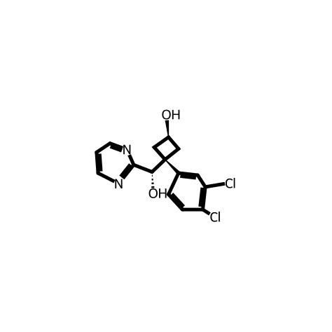 O[C@H](c1ncccn1)[C@]1(c2ccc(Cl)c(Cl)c2)C[C@@H](O)C1